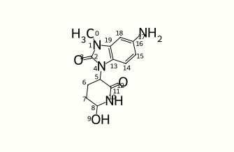 Cn1c(=O)n(C2CCC(O)NC2=O)c2ccc(N)cc21